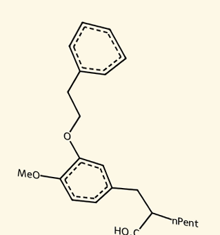 CCCCCC(Cc1ccc(OC)c(OCCc2ccccc2)c1)C(=O)O